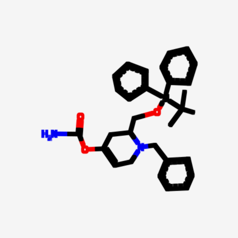 CC(C)(C)[Si](OCC1CC(OC(N)=O)=CCN1Cc1ccccc1)(c1ccccc1)c1ccccc1